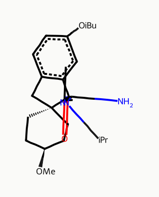 CO[C@H]1CC[C@]2(CC1)Cc1ccc(OCC(C)C)cc1C21N=C(N)N(C(C)C)C1=O